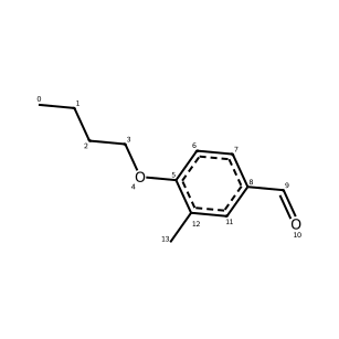 CCCCOc1ccc(C=O)cc1C